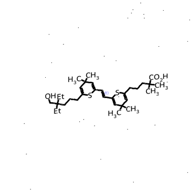 CCC(CC)(CO)CCCC1=CC(C)(C)C=C(/C=C/C2=CC(C)(C)C=C(CCCC(C)(C)C(=O)O)S2)S1